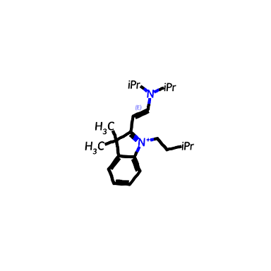 CC(C)CC[N+]1=C(/C=C/N(C(C)C)C(C)C)C(C)(C)c2ccccc21